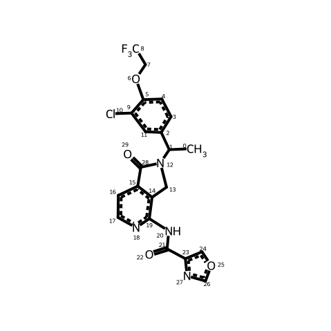 CC(c1ccc(OCC(F)(F)F)c(Cl)c1)N1Cc2c(ccnc2NC(=O)c2cocn2)C1=O